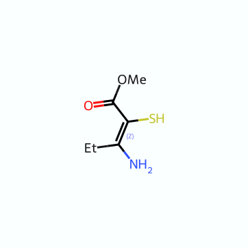 CC/C(N)=C(/S)C(=O)OC